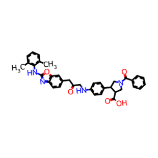 Cc1cccc(C)c1Nc1nc2ccc(CC(=O)CNc3ccc(C4CN(C(=O)c5ccccc5)CC4C(=O)O)cc3)cc2o1